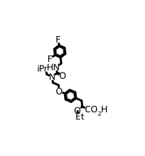 CCOC(Cc1ccc(OCCN(CC(C)C)C(=O)NCc2ccc(F)cc2F)cc1)C(=O)O